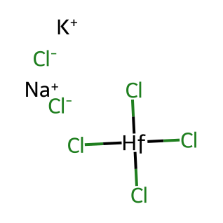 [Cl-].[Cl-].[Cl][Hf]([Cl])([Cl])[Cl].[K+].[Na+]